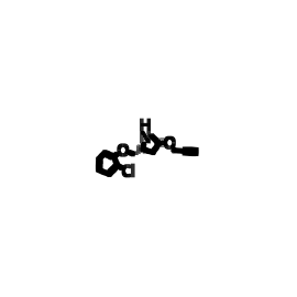 C#CCO[C@@H]1CN[C@@H](COc2ccccc2Cl)C1